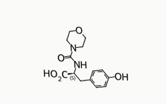 O=C(O)[C@H](Cc1ccc(O)cc1)NC(=O)N1CCOCC1